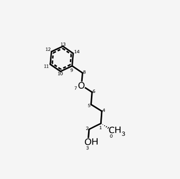 C[C@H](CO)CCCOCc1ccccc1